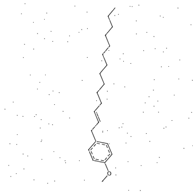 CCCCCCCCCCCC=CCc1[c]cc(OC)cc1